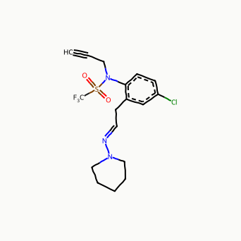 C#CCN(c1ccc(Cl)cc1CC=NN1CCCCC1)S(=O)(=O)C(F)(F)F